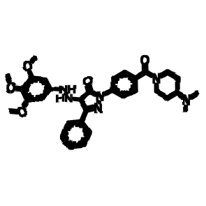 COc1cc(NNC2C(=O)N(c3ccc(C(=O)N4CCC(N(C)C)CC4)cc3)N=C2c2ccccc2)cc(OC)c1OC